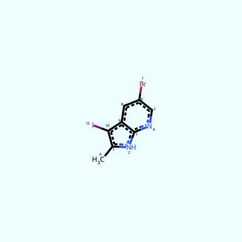 Cc1[nH]c2ncc(Br)cc2c1I